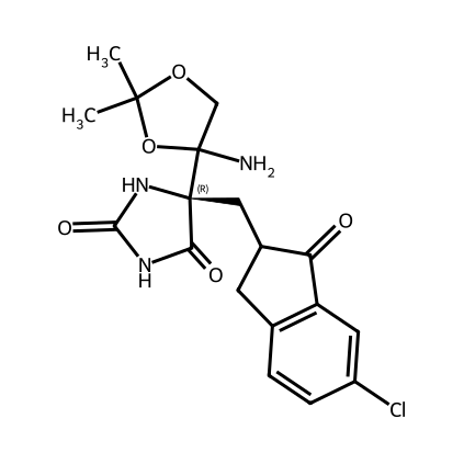 CC1(C)OCC(N)([C@@]2(CC3Cc4ccc(Cl)cc4C3=O)NC(=O)NC2=O)O1